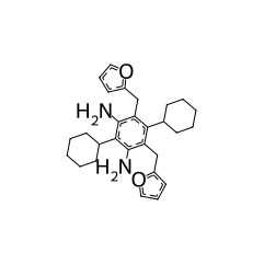 Nc1c(Cc2ccco2)c(C2CCCCC2)c(Cc2ccco2)c(N)c1C1CCCCC1